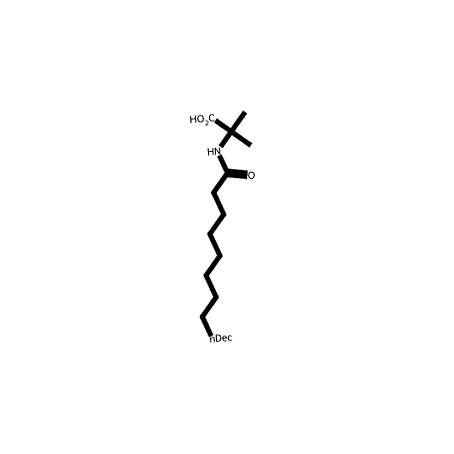 CCCCCCCCCCCCCCCCCC(=O)NC(C)(C)C(=O)O